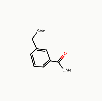 COC(=O)c1cccc(CSC)c1